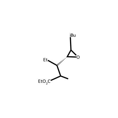 CCOC(=O)C(C)C(CC)[C@H]1OC1C(C)CC